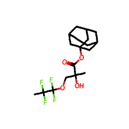 CC(O)(COC(F)(F)C(C)(F)F)C(=O)OC12CC3CC(CC(C3)C1)C2